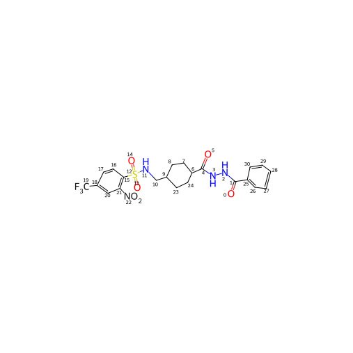 O=C(NNC(=O)C1CCC(CNS(=O)(=O)c2ccc(C(F)(F)F)cc2[N+](=O)[O-])CC1)c1ccccc1